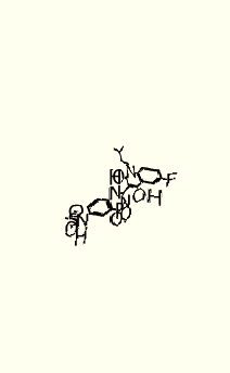 COP1(=O)N=C(c2c(O)c3cc(F)ccc3n(CCC(C)C)c2=O)Nc2ccc(NS(C)(=O)=O)cc21